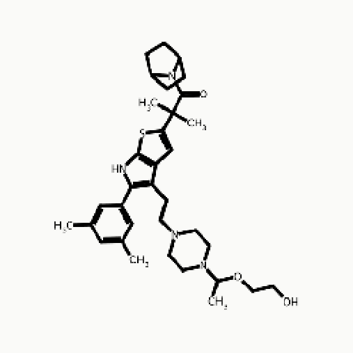 Cc1cc(C)cc(-c2[nH]c3sc(C(C)(C)C(=O)N4C5CCC4CC5)cc3c2CCN2CCN(C(C)OCCO)CC2)c1